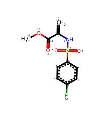 C=C(NS(=O)(=O)c1ccc(F)cc1)C(=O)OC